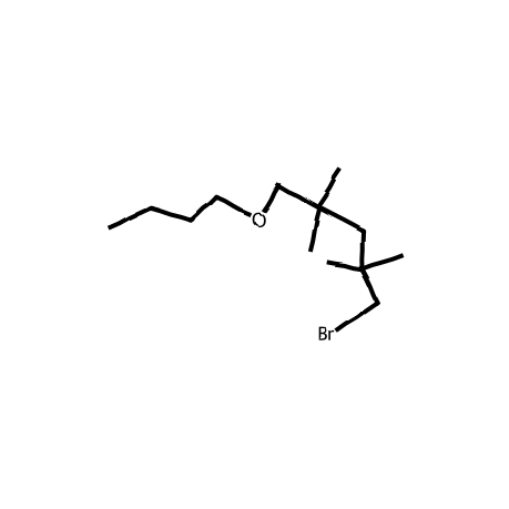 CCCCOCC(C)(C)CC(C)(C)CBr